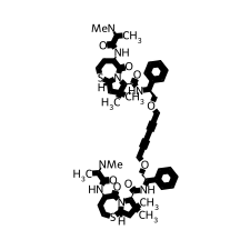 CN[C@@H](C)C(=O)N[C@H]1CCS[C@H]2CC(C)(C)[C@@H](C(=O)N[C@H](COCC#CC#CCOC[C@@H](NC(=O)[C@H]3N4C(=O)[C@@H](NC(=O)[C@H](C)NC)CCS[C@H]4CC3(C)C)c3ccccc3)c3ccccc3)N2C1=O